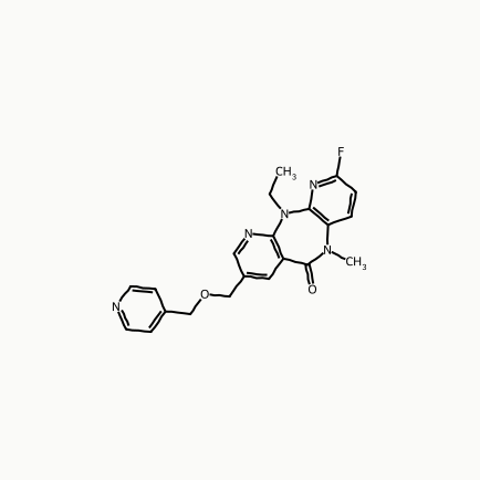 CCN1c2ncc(COCc3ccncc3)cc2C(=O)N(C)c2ccc(F)nc21